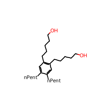 [CH2]CCCCc1cc(CCCCCO)c(CCCCCO)cc1CCCC[CH2]